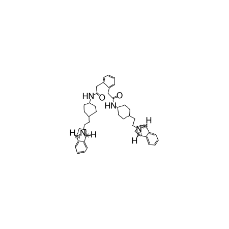 O=C(Cc1ccccc1CC(=O)NC1CCC(CCN2[C@@H]3CC[C@H]2c2ccccc23)CC1)NC1CCC(CCN2[C@@H]3CC[C@H]2c2ccccc23)CC1